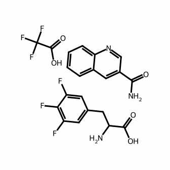 NC(=O)c1cnc2ccccc2c1.NC(Cc1cc(F)c(F)c(F)c1)C(=O)O.O=C(O)C(F)(F)F